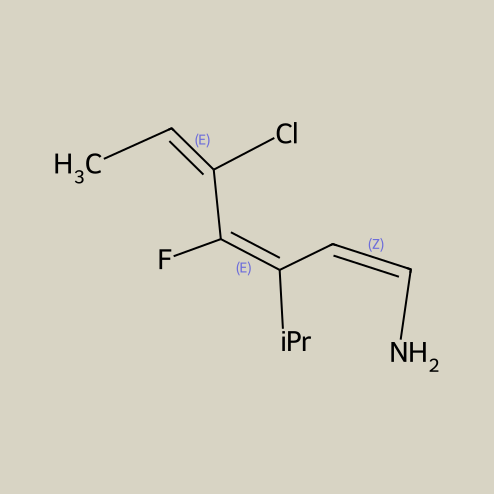 C\C=C(Cl)/C(F)=C(\C=C/N)C(C)C